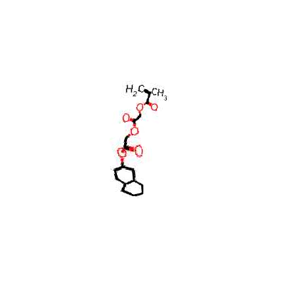 C=C(C)C(=O)OCC(=O)OCC(=O)OC1CCC2CCCCC2C1